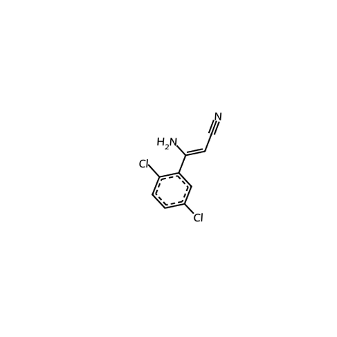 N#CC=C(N)c1cc(Cl)ccc1Cl